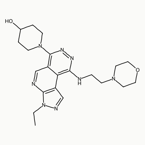 CCn1ncc2c3c(NCCN4CCOCC4)nnc(N4CCC(O)CC4)c3cnc21